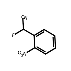 N#CC(F)c1ccccc1[N+](=O)[O-]